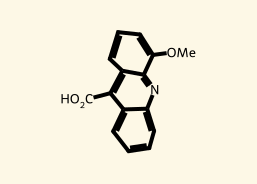 COc1cccc2c(C(=O)O)c3ccccc3nc12